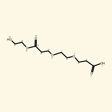 O=C(O)CCOCCOCCC(=O)OCCO